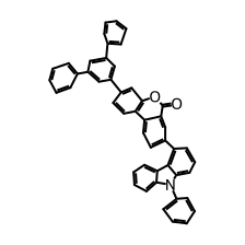 O=c1oc2cc(-c3cc(-c4ccccc4)cc(-c4ccccc4)c3)ccc2c2ccc(-c3cccc4c3c3ccccc3n4-c3ccccc3)cc12